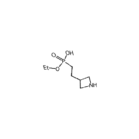 CCOP(=O)(O)CCC1CNC1